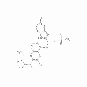 CS(=O)(=O)CC[C@H](Nc1nc[n+]([O-])c2cc(C(=O)N3CCC[C@@H]3CN)c(Cl)cc12)c1nc2cc(Cl)ccc2[nH]1